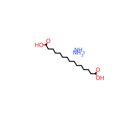 N.N.O=C(O)CCCCCCCCCCCCCC(=O)O